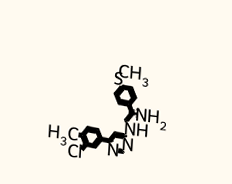 CSc1ccc([C@@H](N)CNc2cc(-c3ccc(C)c(Cl)c3)ncn2)cc1